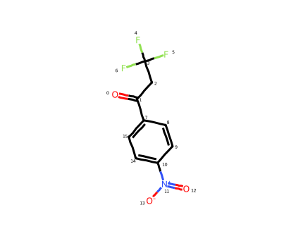 O=C(CC(F)(F)F)c1ccc([N+](=O)[O-])cc1